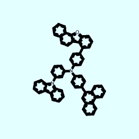 c1cc(N(c2ccc(-c3cc4ccccc4c4ccccc34)cc2)c2ccc(-c3cccc4oc5c6ccccc6ccc5c34)cc2)cc(-n2c3ccccc3c3ccccc32)c1